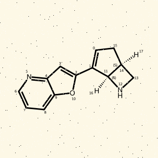 C1=C(c2cc3ncccc3o2)[C@@H]2NC[C@@H]2C1